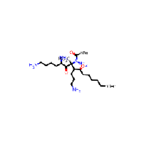 CCCCCCCCCCCCCCCC(=O)C(CCCN)C(C(=O)O)(C(=O)C(N)CCCCN)N(N)C(=O)CCCC